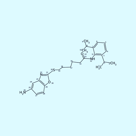 CC(C)c1cccc(C(C)C)c1NC(=O)CCCCCSc1nc2cc(N)ccc2o1